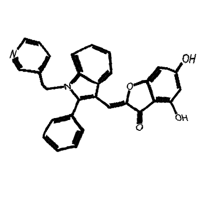 O=C1/C(=C/c2c(-c3ccccc3)n(Cc3cccnc3)c3ccccc23)Oc2cc(O)cc(O)c21